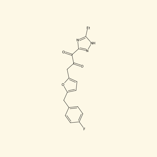 CCc1nc(C(=O)C(=O)Cc2ccc(Cc3ccc(F)cc3)o2)n[nH]1